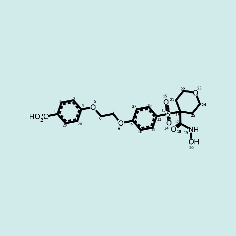 O=C(O)c1ccc(OCCOc2ccc(S(=O)(=O)C3(C(=O)NO)CCOCC3)cc2)cc1